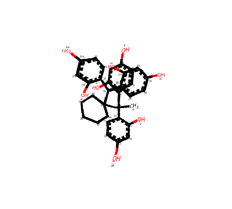 CC(c1ccc(O)cc1O)(c1ccc(O)cc1O)C1(C(c2ccc(O)cc2O)c2ccc(O)cc2O)CCCCC1